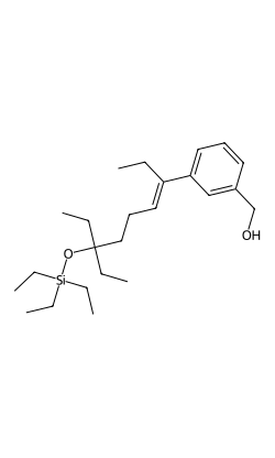 CCC(=CCCC(CC)(CC)O[Si](CC)(CC)CC)c1cccc(CO)c1